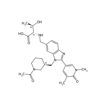 CC(=O)N1CCC[C@@H](Cn2c(-c3cc(C)c(=O)n(C)c3)nc3ccc(CN[C@H](C(=O)O)[C@@H](C)O)cc32)C1